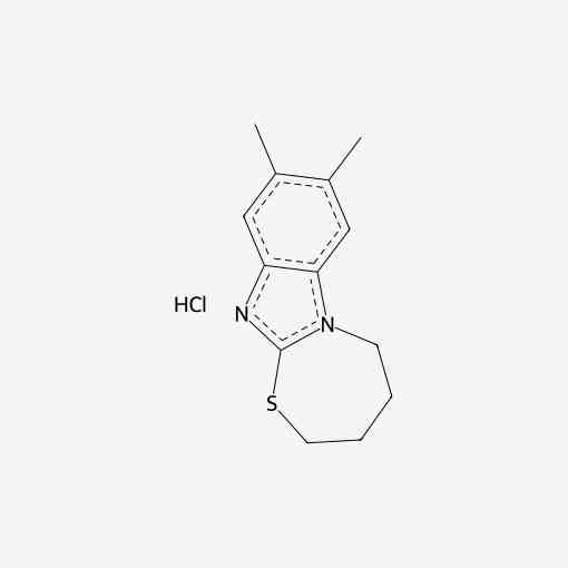 Cc1cc2nc3n(c2cc1C)CCCCS3.Cl